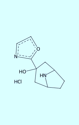 Cl.OC1(c2ncco2)CC2CCC(C1)N2